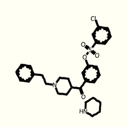 C1CCNCC1.O=C(c1cccc(OS(=O)(=O)c2cccc(Cl)c2)c1)C1CCN(CCc2ccccc2)CC1